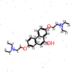 CCN(CC)CCOc1ccc2c(c1)cc(O)c1cc(OCCN(CC)CC)ccc12